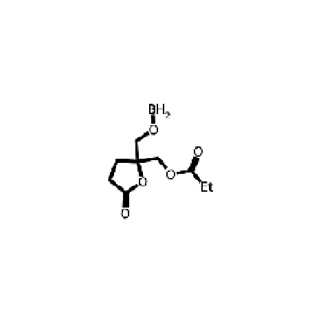 BOCC1(COC(=O)CC)CCC(=O)O1